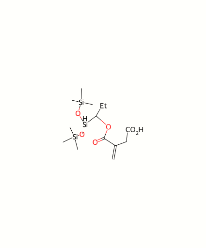 C=C(CC(=O)O)C(=O)OC(CC)[SiH](O[Si](C)(C)C)O[Si](C)(C)C